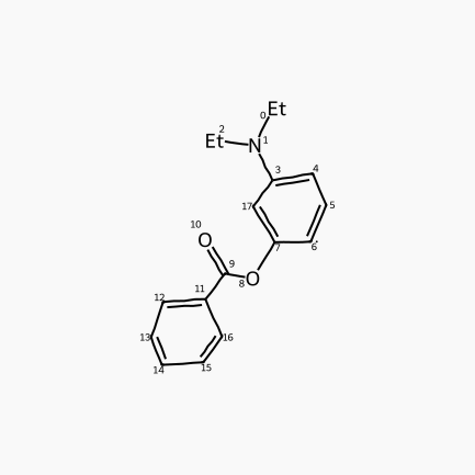 CCN(CC)c1cc[c]c(OC(=O)c2ccccc2)c1